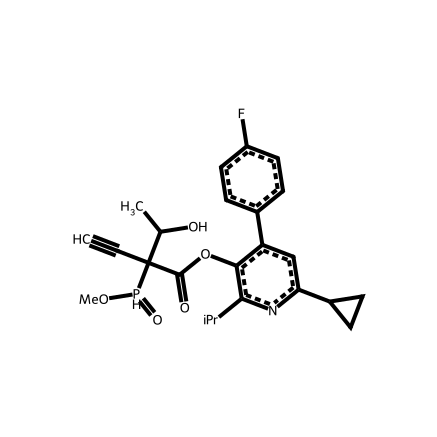 C#CC(C(=O)Oc1c(-c2ccc(F)cc2)cc(C2CC2)nc1C(C)C)(C(C)O)[PH](=O)OC